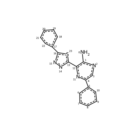 Nc1ncc(-c2cc[c]cc2)nc1-c1nnc(-c2ccccc2)s1